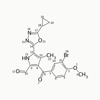 COc1ccc(C(=O)c2c(C=O)[nH]c(-c3nnc(C4CC4)o3)c2C)cc1Br